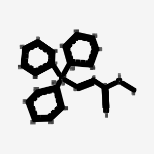 COC(=O)C=C[P+](c1ccccc1)(c1ccccc1)c1ccccc1